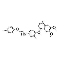 COc1cc2nccc(Oc3ccc(NCCOc4ccc(C)cc4)cc3C)c2cc1OC